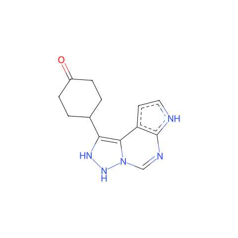 O=C1CCC(C2=C3c4cc[nH]c4N=CN3NN2)CC1